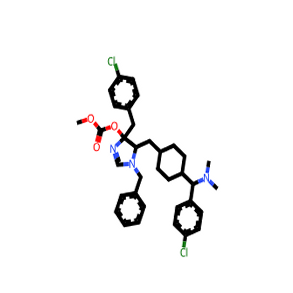 COC(=O)OC1(Cc2ccc(Cl)cc2)N=CN(Cc2ccccc2)C1CC1CCC(C(c2ccc(Cl)cc2)N(C)C)CC1